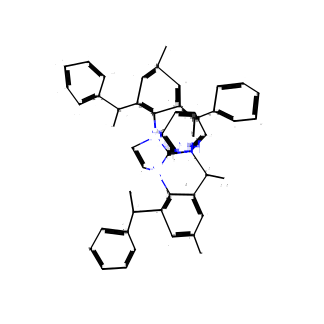 Cc1cc(C(C)c2ccccc2)c(-n2ccn(-c3c(C(C)c4ccccc4)cc(C)cc3C(C)c3ccccc3)c2=N)c(C(C)c2ccccc2)c1